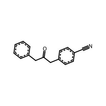 N#Cc1ccc(CC(=O)Cc2ccccc2)cc1